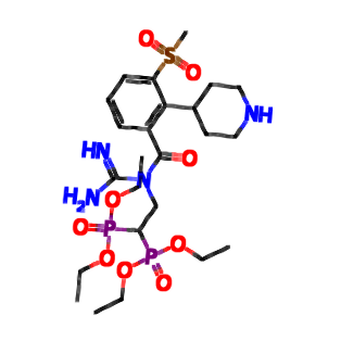 CCOP(=O)(OCC)C(CN(C(=N)N)C(=O)c1cccc(S(C)(=O)=O)c1C1CCNCC1)P(=O)(OCC)OCC